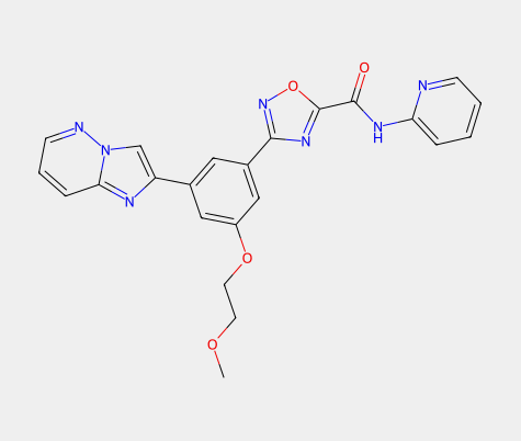 COCCOc1cc(-c2cn3ncccc3n2)cc(-c2noc(C(=O)Nc3ccccn3)n2)c1